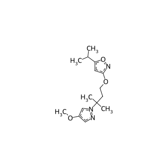 COc1cnn(C(C)(C)CCOc2cc(C(C)C)on2)c1